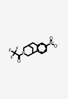 O=C(N1CC2Cc3cc([N+](=O)[O-])ccc3C(C2)C1)C(F)(F)F